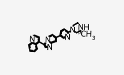 C[C@H]1CN(c2ccc(-c3ccn4c(-c5ccnc6ccccc56)cnc4c3)cn2)CCN1